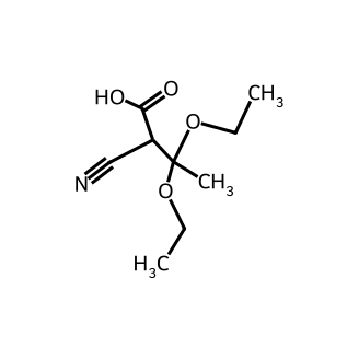 CCOC(C)(OCC)C(C#N)C(=O)O